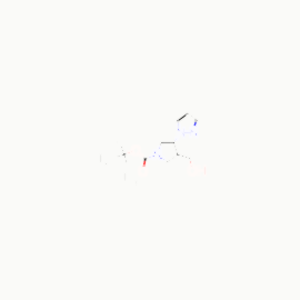 CC(C)(C)OC(=O)N1CC(CO)C(n2cccn2)C1